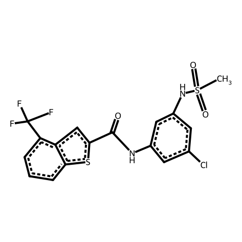 CS(=O)(=O)Nc1cc(Cl)cc(NC(=O)c2cc3c(C(F)(F)F)cccc3s2)c1